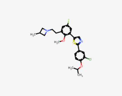 COc1c(CCN2CC(C)C2)cc(F)cc1-c1cnc(-c2ccc(OC(C)C)c(Cl)c2)s1